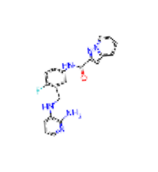 Nc1ncccc1NCc1cc(NC(=O)c2cc3ccccn3n2)ccc1F